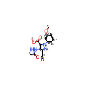 COC(=O)c1c(NC(C)=O)c(C#N)nn1-c1cccc(OC)c1